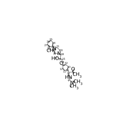 CC(=O)C(=CNCN(C)C)c1ccc(OCC(O)CN2CCN(c3ccccc3C)CC2)cc1